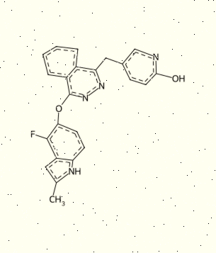 Cc1cc2c(F)c(Oc3nnc(Cc4ccc(O)nc4)c4ccccc34)ccc2[nH]1